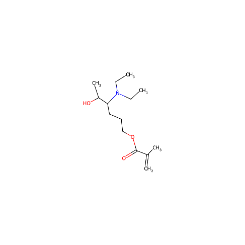 C=C(C)C(=O)OCCCC(C(C)O)N(CC)CC